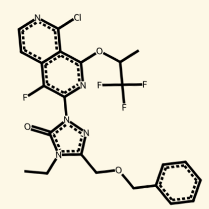 CCn1c(COCc2ccccc2)nn(-c2nc(OC(C)C(F)(F)F)c3c(Cl)nccc3c2F)c1=O